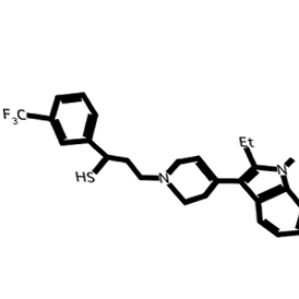 CCc1c(C2=CCN(CCC(S)c3cccc(C(F)(F)F)c3)CC2)c2ccc(F)cc2n1C